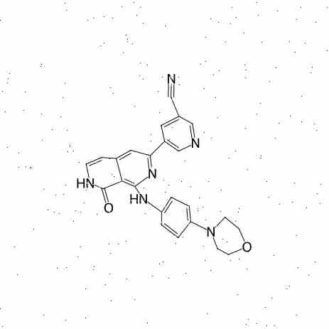 N#Cc1cncc(-c2cc3cc[nH]c(=O)c3c(Nc3ccc(N4CCOCC4)cc3)n2)c1